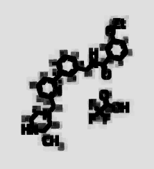 CCOc1cccc(C(=O)NCc2cccc(-c3cccc(CN4CCN[C@@H](C)C4)n3)c2)c1.O=C(O)C(F)(F)F